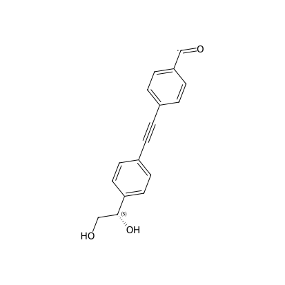 O=[C]c1ccc(C#Cc2ccc([C@H](O)CO)cc2)cc1